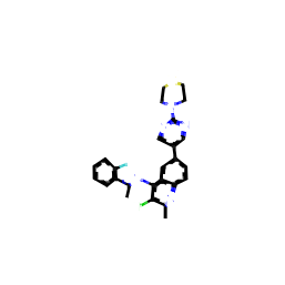 Cc1nc2ccc(-c3cnc(N4CCS(=O)(=O)CC4)nc3)cc2c(NC(C)c2ccccc2F)c1Cl